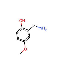 COc1ccc(O)c(CN)c1